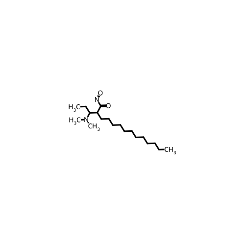 CCCCCCCCCCCCC(C(=O)N=O)C(CC)N(C)C